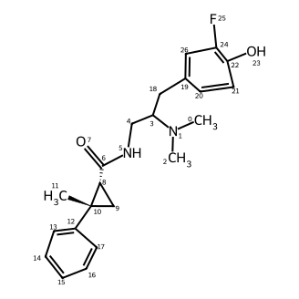 CN(C)C(CNC(=O)[C@@H]1C[C@]1(C)c1ccccc1)Cc1ccc(O)c(F)c1